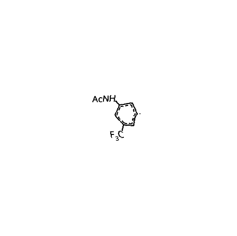 CC(=O)Nc1c[c]cc(C(F)(F)F)c1